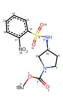 CC(C)(C)OC(=O)N1CC[C@H](NS(=O)(=O)c2ccccc2[N+](=O)[O-])C1